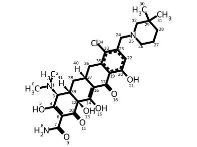 CN(C)[C@@H]1C(O)=C(C(N)=O)C(=O)[C@@]2(O)C(O)=C3C(=O)c4c(O)cc(CN5CCCC(C)(C)C5)c(Cl)c4C[C@H]3C[C@@H]12